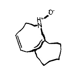 [O-][NH+]1CC=CC2=C1CCC2